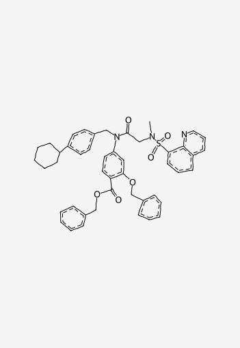 CN(CC(=O)N(Cc1ccc(C2CCCCC2)cc1)c1ccc(C(=O)OCc2ccccc2)c(OCc2ccccc2)c1)S(=O)(=O)c1cccc2cccnc12